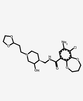 Nc1cc(C(=O)NC[C@@H]2CCN(CCC3OCCO3)CC2O)c2c(c1Cl)OCCCO2